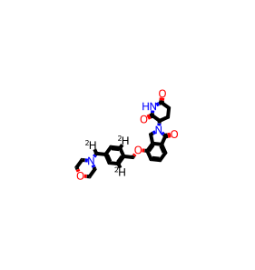 [2H]c1cc(C([2H])N2CCOCC2)cc([2H])c1COc1cccc2c1CN(C1CCC(=O)NC1=O)C2=O